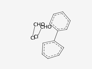 O=CCl.O=CCl.c1ccc(-c2ccccc2)cc1